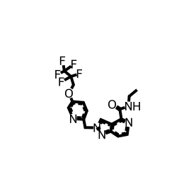 CCNC(=O)c1nccc2nn(Cc3ccc(OCC(F)(F)C(F)(F)F)cn3)cc12